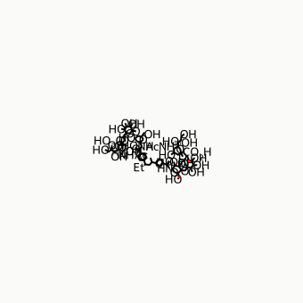 CCC(CC(C)c1ccc(C(=O)NC2OC(CO)C(OC3OC(COC4(C(=O)O)CC(O)C(NC(C)=O)C([C@H](O)C(O)CO)O4)C(O)C(O)C3O)C(O)C2O)cc1)c1ccc(C(=O)NC2OC(CO)C(OC3OC(COC4(C(=O)O)CC(O)C(NC(C)=O)C([C@H](O)C(O)CO)O4)C(O)C(O)C3O)C(O)C2O)cc1